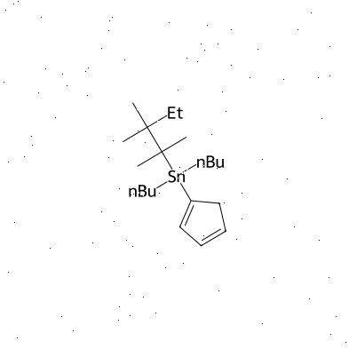 CCC[CH2][Sn]([CH2]CCC)([C]1=CC=CC1)[C](C)(C)C(C)(C)CC